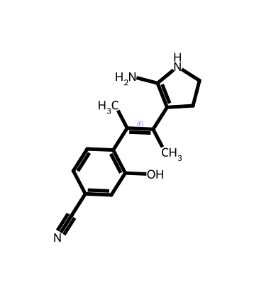 C/C(C1=C(N)NCC1)=C(/C)c1ccc(C#N)cc1O